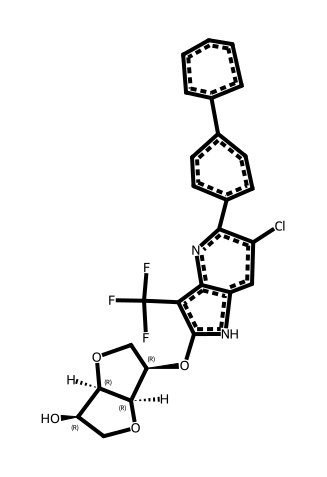 O[C@@H]1CO[C@H]2[C@@H]1OC[C@H]2Oc1[nH]c2cc(Cl)c(-c3ccc(-c4ccccc4)cc3)nc2c1C(F)(F)F